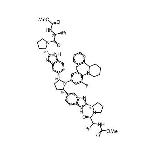 COC(=O)NC(C(=O)N1CCC[C@H]1c1nc2cc([C@H]3CC[C@H](c4ccc5[nH]c([C@@H]6CCCN6C(=O)[C@@H](NC(=O)OC)C(C)C)nc5c4)N3c3cc(F)c(N4CCCCC4c4ccccc4)c(F)c3)ccc2[nH]1)C(C)C